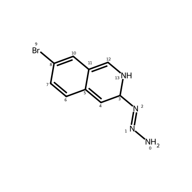 NN=NC1C=c2ccc(Br)cc2=CN1